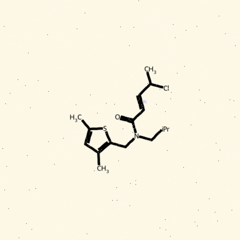 Cc1cc(C)c(CN(CC(C)C)C(=O)/C=C/C(C)Cl)s1